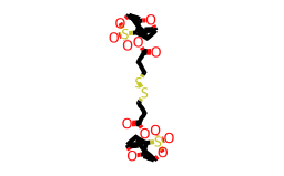 O=C(CCSSCCC(=O)Oc1c2c3oc1cc3S(=O)(=O)O2)Oc1c2c3oc1cc3S(=O)(=O)O2